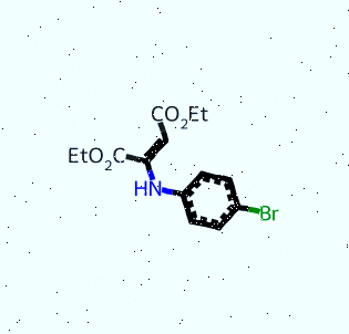 CCOC(=O)C=C(Nc1ccc(Br)cc1)C(=O)OCC